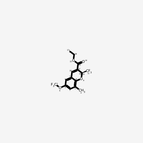 Cc1cc(OC(F)(F)F)cc2c1O[C@H](C(F)(F)F)C(C(=O)OCI)=C2